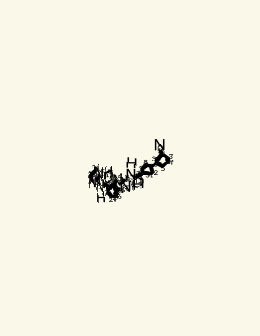 N#Cc1cccc(-c2ccc(C(=O)Nc3nc4c(C(=O)Nc5ncc[nH]5)cccc4[nH]3)cc2)c1